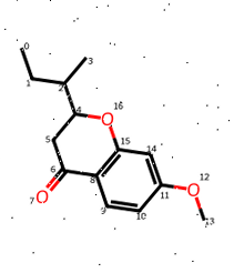 CCC(C)C1CC(=O)c2ccc(OC)cc2O1